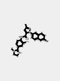 Cc1cc(C(=O)Nc2ccc(C3=NCCN3C)cc2F)n(-c2ccc3cc(Br)ccc3c2)n1